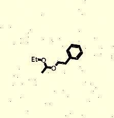 CCOC(C)OCCc1ccccc1